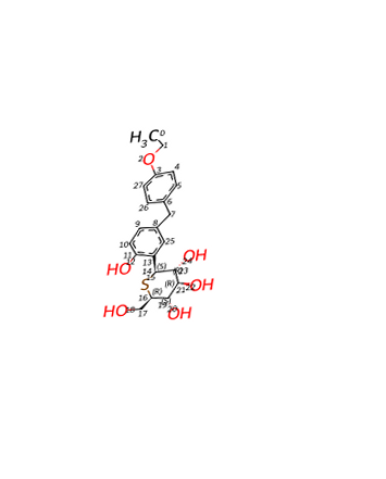 CCOc1ccc(Cc2ccc(O)c([C@@H]3S[C@H](CO)[C@@H](O)[C@H](O)[C@H]3O)c2)cc1